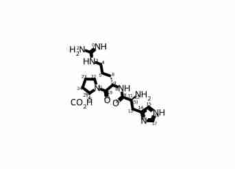 N=C(N)NCCC[C@H](NC(=O)[C@@H](N)Cc1c[nH]cn1)C(=O)N1CCC[C@H]1C(=O)O